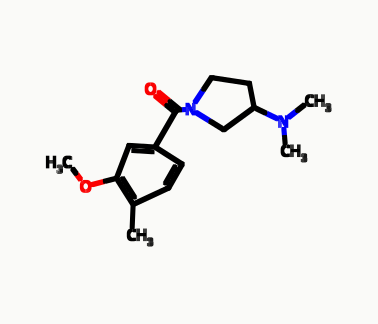 COc1cc(C(=O)N2CCC(N(C)C)C2)ccc1C